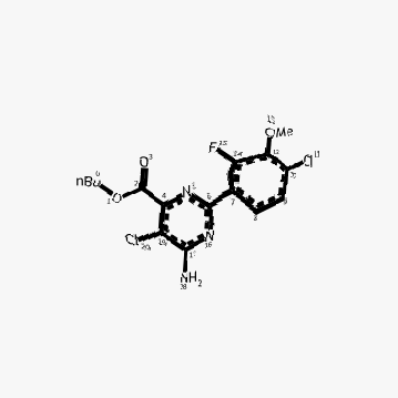 CCCCOC(=O)c1nc(-c2ccc(Cl)c(OC)c2F)nc(N)c1Cl